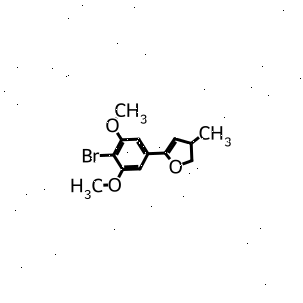 COc1cc(C2=CC(C)CO2)cc(OC)c1Br